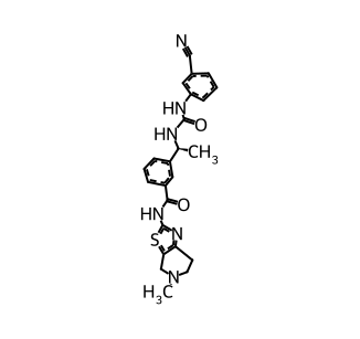 C[C@H](NC(=O)Nc1cccc(C#N)c1)c1cccc(C(=O)Nc2nc3c(s2)CN(C)CC3)c1